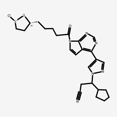 N#CCC(C1CCCC1)n1cc(-c2ncnc3c2ccn3C(=O)CCCC[C@@H]2CC[S+]([O-])S2)cn1